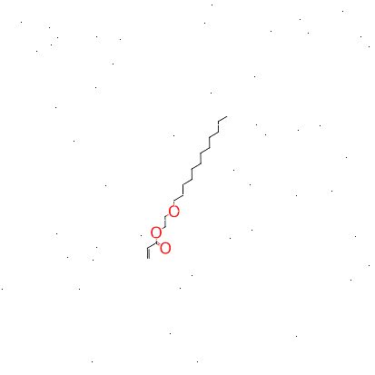 C=CC(=O)OCCOCCCCCCCCCCCC